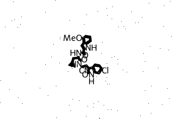 COc1cccc2[nH]c(C(=O)NC(CC3CC3)C(=O)NC(C#N)CC3C(=O)Nc4cc(Cl)ccc43)cc12